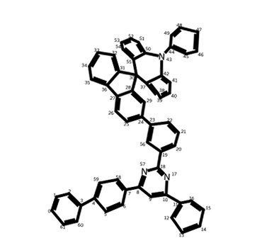 c1ccc(-c2ccc(-c3cc(-c4ccccc4)nc(-c4cccc(-c5ccc6c(c5)C5(c7ccccc7-6)c6ccccc6N(c6ccccc6)c6ccccc65)c4)n3)cc2)cc1